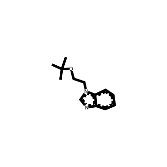 CC(C)(C)OCCn1cnc2ccccc21